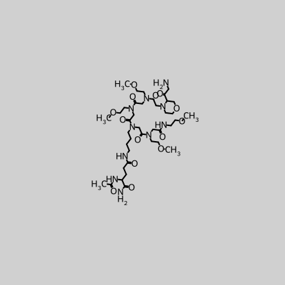 COCCNC(=O)CN(CCOC)C(=O)CN(CCCCNC(=O)CCC(NC(C)=O)C(N)=O)C(=O)CN(CCOC)C(=O)CN(CCOC)C(=O)CN1CCOCC1C(=O)CN